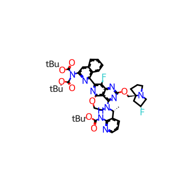 C[C@H](c1cccnc1NC(=O)OC(C)(C)C)N1CCOc2nc(-c3nc(N(C(=O)OC(C)(C)C)C(=O)OC(C)(C)C)cc4ccccc34)c(F)c3nc(OC[C@@]45CCCN4C[C@H](F)C5)nc1c23